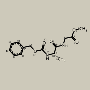 COC(=O)CNC(=O)[C@H](C)NC(=O)OCc1ccccc1